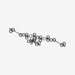 C=CC(=O)OCCCCCCOc1ccc(OC(=O)C2CCC(C(=O)Oc3ccc(OC(=O)[C@H]4CC[C@H](C(=O)Oc5ccc(OCCCCCCOC(=O)C=C)cc5)CC4)c(/C=N/N(CCOC(=O)C=C)c4nc5ccccc5s4)c3)CC2)cc1